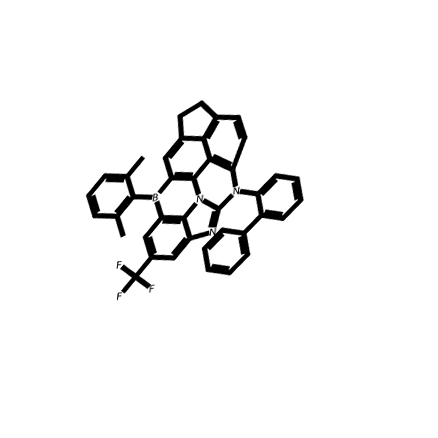 Cc1cccc(C)c1B1c2cc(C(F)(F)F)cc3nc4n(-c5ccccc5-c5ccccc5)c5ccc6c7c(cc1c(c75)n4c23)CC6